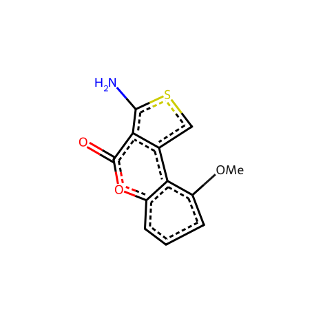 COc1cccc2oc(=O)c3c(N)scc3c12